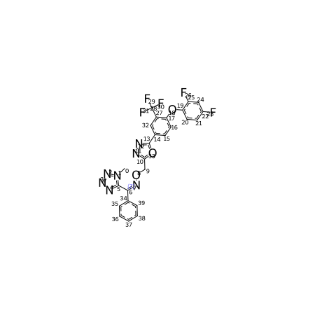 Cn1nnnc1/C(=N\OCc1nnc(-c2ccc(Oc3ccc(F)cc3F)c(C(F)(F)F)c2)o1)c1ccccc1